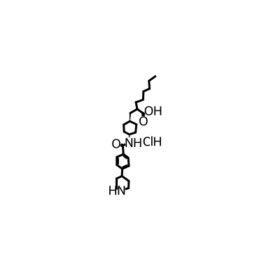 CCCCCCC(C[C@H]1CC[C@H](NC(=O)c2ccc(C3CCNCC3)cc2)CC1)C(=O)O.Cl